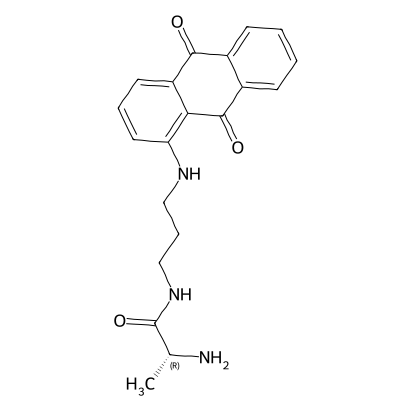 C[C@@H](N)C(=O)NCCCNc1cccc2c1C(=O)c1ccccc1C2=O